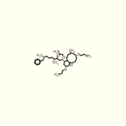 CCC(CC[C@@H]1C[C@@H](OCCN)C[C@@H]2CCC[C@@H](OCCN)CC(C)C[C@@H](OCCN)C12)[C@H](C)CCCN(C)Cc1ccccc1